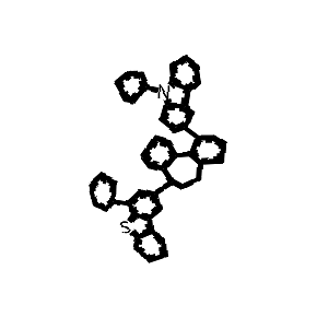 c1ccc(-c2cc(C3CCc4cccc(-c5ccc6c(c5)c5ccccc5n6-c5ccccc5)c4-c4ccccc43)cc3c2sc2ccccc23)cc1